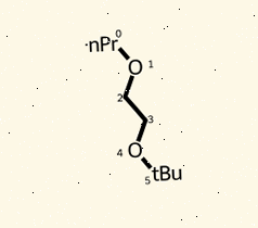 CC[CH]OCCOC(C)(C)C